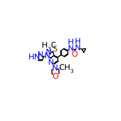 CSc1nn(-c2cc[nH]n2)c2nc(N3CCOC[C@H]3C)cc(-c3ccc(NC(=O)NC4CC4)cc3)c12